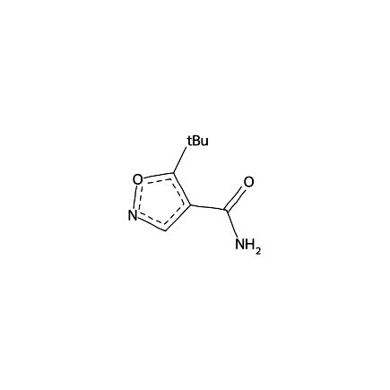 CC(C)(C)c1oncc1C(N)=O